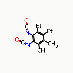 CCc1c(C)c(C)c(N=C=O)c(N=C=O)c1CC